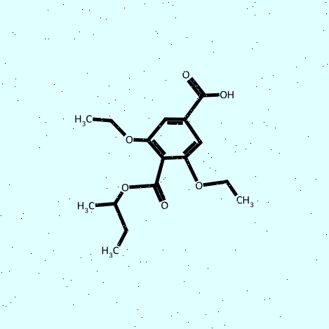 CCOc1cc(C(=O)O)cc(OCC)c1C(=O)OC(C)CC